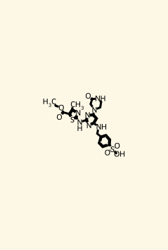 CCOC(=O)c1sc(Nc2nc(NCc3ccc(S(=O)(=O)O)cc3)cc(N3CCNC(=O)C3)n2)nc1C